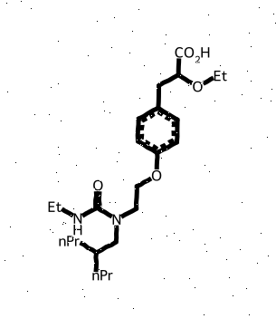 CCCC(CCC)CN(CCOc1ccc(CC(OCC)C(=O)O)cc1)C(=O)NCC